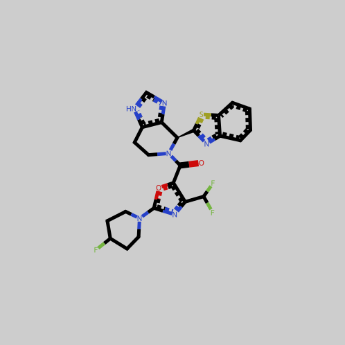 O=C(c1oc(N2CCC(F)CC2)nc1C(F)F)N1CCc2[nH]cnc2[C@H]1c1nc2ccccc2s1